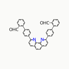 O=Cc1ccccc1-c1ccc(-c2ccc3ccc4ccc(-c5ccc(-c6ccccc6C=O)cc5)nc4c3n2)cc1